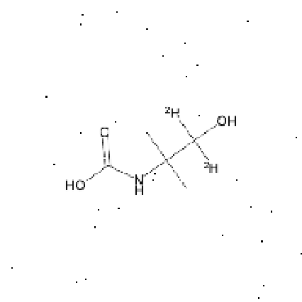 [2H]C([2H])(O)C(C)(C)NC(=O)O